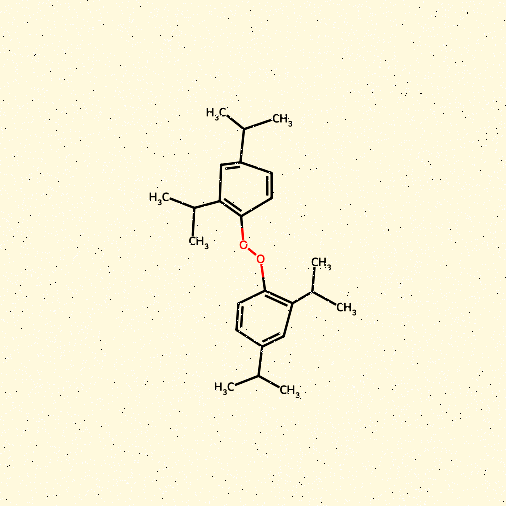 CC(C)c1ccc(OOc2ccc(C(C)C)cc2C(C)C)c(C(C)C)c1